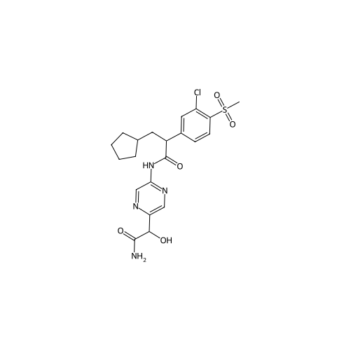 CS(=O)(=O)c1ccc(C(CC2CCCC2)C(=O)Nc2cnc(C(O)C(N)=O)cn2)cc1Cl